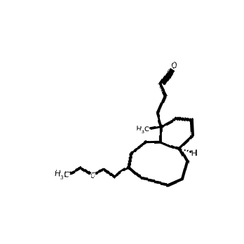 CCOCCC1CCCC[C@@H]2CCCC(C)(CCC=O)C2CC1